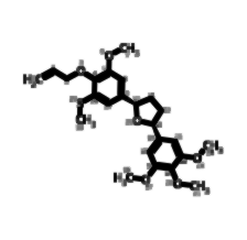 C=CCOc1c(OC)cc([C@H]2CC[C@@H](c3cc(OC)c(OC)c(OC)c3)O2)cc1SC